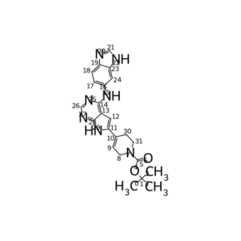 CC(C)(C)OC(=O)N1CC=C(c2cc3c(Nc4ccc5nc[nH]c5c4)ncnc3[nH]2)CC1